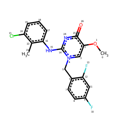 COc1cn(Cc2ccc(F)cc2F)c(Nc2cccc(Cl)c2C)nc1=O